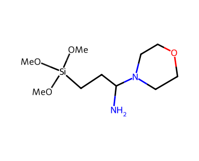 CO[Si](CCC(N)N1CCOCC1)(OC)OC